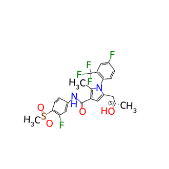 Cc1c(C(=O)Nc2ccc(S(C)(=O)=O)c(F)c2)cc(C[C@H](C)O)n1-c1ccc(F)cc1C(F)(F)F